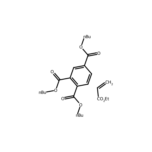 C=CC(=O)OCC.CCCCOC(=O)c1ccc(C(=O)OCCCC)c(C(=O)OCCCC)c1